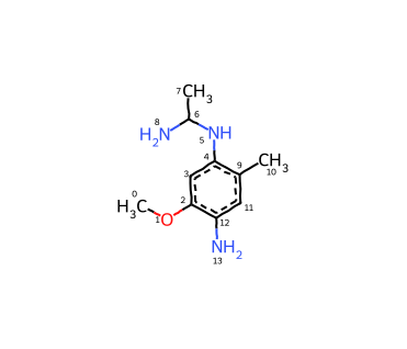 COc1cc(NC(C)N)c(C)cc1N